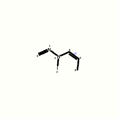 C=NN(I)/C=C\C